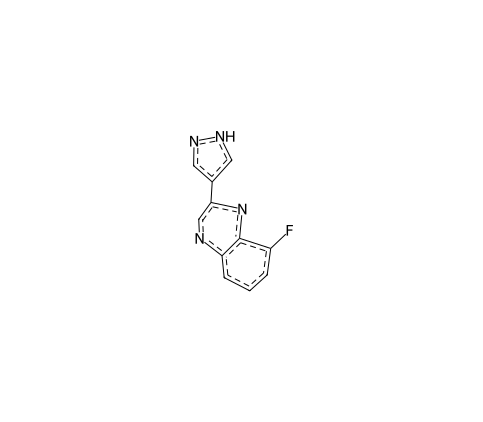 Fc1cccc2ncc(-c3cn[nH]c3)nc12